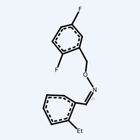 CCc1ccccc1/[C]=N\OCc1cc(F)ccc1F